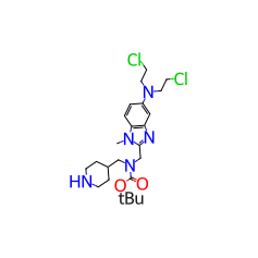 Cn1c(CN(CC2CCNCC2)C(=O)OC(C)(C)C)nc2cc(N(CCCl)CCCl)ccc21